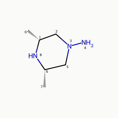 C[C@@H]1CN(N)C[C@H](C)N1